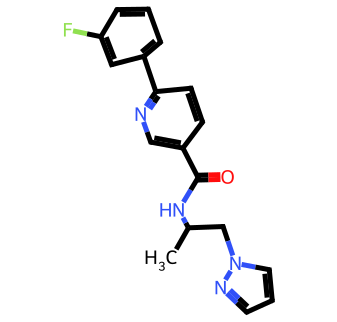 CC(Cn1cccn1)NC(=O)c1ccc(-c2cccc(F)c2)nc1